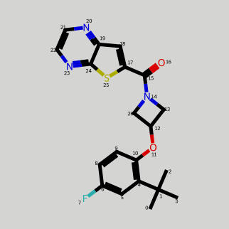 CC(C)(C)c1cc(F)ccc1OC1CN(C(=O)c2cc3nccnc3s2)C1